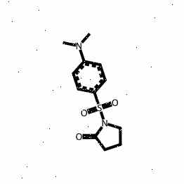 CN(C)c1ccc(S(=O)(=O)N2CCCC2=O)cc1